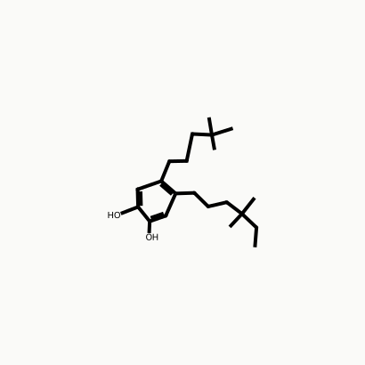 CCC(C)(C)CCCc1cc(O)c(O)cc1CCCC(C)(C)C